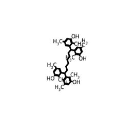 Cc1cc(O)c(C)c(C(CCCCCCC(c2cc(C)cc(O)c2C)c2cc(C)cc(O)c2C)c2cc(C)cc(O)c2C)c1